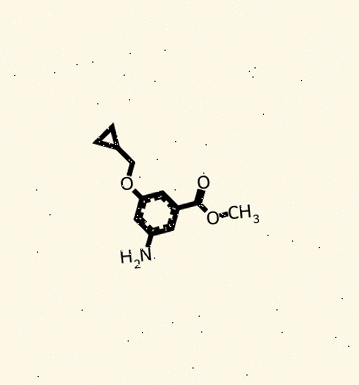 COC(=O)c1cc(N)cc(OCC2CC2)c1